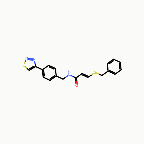 O=C(C=CSCc1ccccc1)NCc1ccc(-c2csnn2)cc1